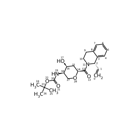 C=C[C@H]1c2ccccc2CCN1C(=O)[C@@H]1C[C@H](O)[C@H](NC(=O)OC(C)(C)C)CO1